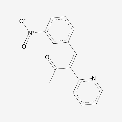 CC(=O)C(=Cc1cccc([N+](=O)[O-])c1)c1ccccn1